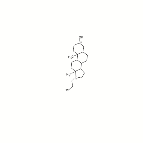 CC(C)CC[C@H]1CCC2C3CCC4C[C@@H](O)CCC4(C)C3CCC21C